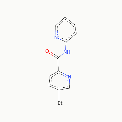 CCc1ccc(C(=O)Nc2ccccn2)nc1